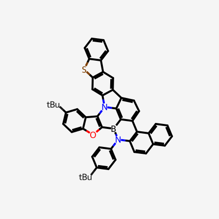 CC(C)(C)c1ccc(N2B3c4oc5ccc(C(C)(C)C)cc5c4-n4c5cc6sc7ccccc7c6cc5c5ccc(c3c54)-c3c2ccc2ccccc32)cc1